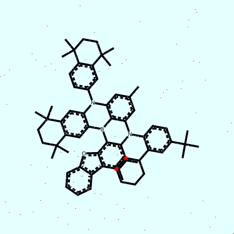 Cc1cc2c3c(c1)N(c1ccc(C(C)(C)C)cc1C1=CC=CCC1)c1c#cc4c(oc5ccccc54)c1B3c1cc3c(cc1N2c1ccc2c(c1)C(C)(C)CCC2(C)C)C(C)(C)CCC3(C)C